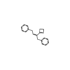 C1=C(C(=CCc2ccccc2)Cc2ccccc2)CC1